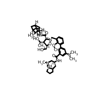 COc1c(CN2O[C@@H](CO)[C@@H]([C@H](C)O)[C@H]2C(=O)N[C@H]2C[C@H]3C[C@@H]([C@@H]2C)C3(C)C)cccc1-c1cc(C(=O)N[C@@H](CC2CCCS2)CN(C)C)cc(N(C)C)c1